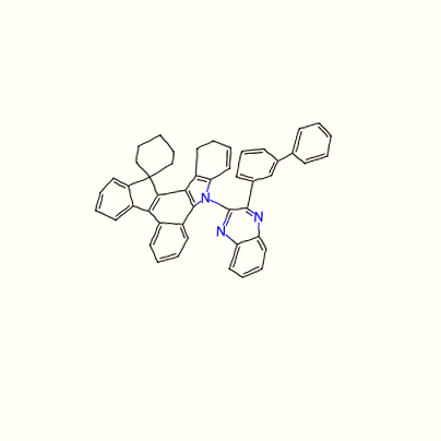 C1=Cc2c(c3c4c(c5ccccc5c3n2-c2nc3ccccc3nc2-c2cccc(-c3ccccc3)c2)-c2ccccc2C42CCCCC2)CC1